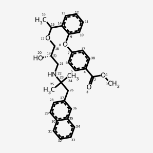 COC(=O)c1ccc(Oc2ccccc2C(C)OC[C@@H](O)CNC(C)(C)Cc2ccc3ccccc3c2)cc1